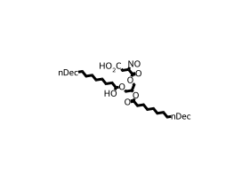 CCCCCCCCCCCCCCCCCC(=O)OC(COC(=O)C(CC(=O)O)N=O)COC(O)CCCCCCCCCCCCCCCCC